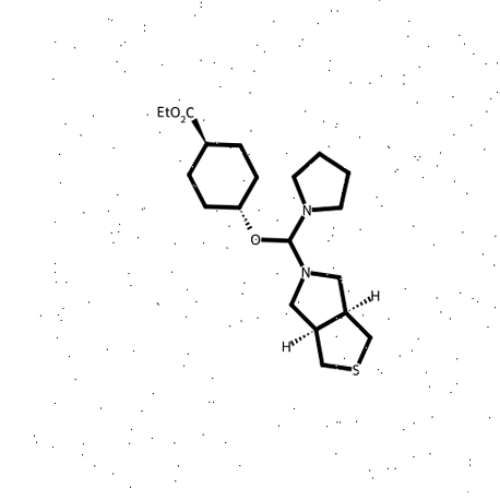 CCOC(=O)[C@H]1CC[C@H](OC(N2CCCC2)N2C[C@H]3CSC[C@H]3C2)CC1